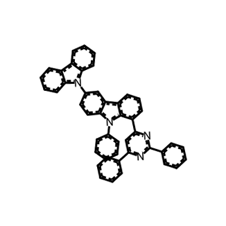 c1ccc(-c2cc(-c3cccc4c5cc(-n6c7ccccc7c7ccccc76)ccc5n(-c5ccccc5)c34)nc(-c3ccccc3)n2)cc1